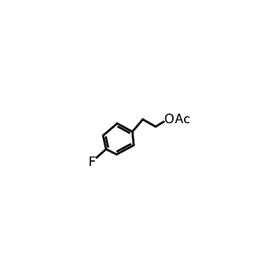 CC(=O)OCCc1ccc(F)cc1